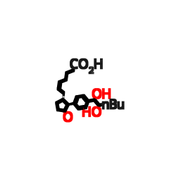 CCCCC(O)C(O)c1ccc([C@H]2C(=O)CC[C@@H]2C/C=C\CCCC(=O)O)cc1